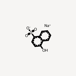 O=S(=O)([O-])c1ccc(O)c2ccccc12.[Na+]